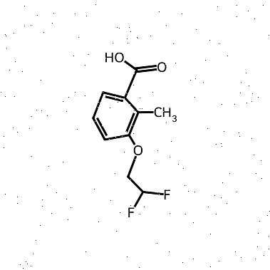 Cc1c(OCC(F)F)cccc1C(=O)O